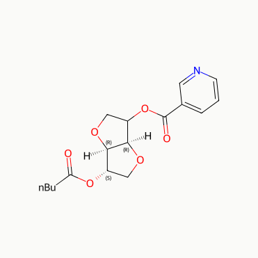 CCCCC(=O)O[C@H]1CO[C@@H]2C(OC(=O)c3cccnc3)CO[C@H]12